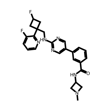 CN1CC(NC(=O)c2cccc(-c3cnc(NCC4(c5ncccc5F)CC(F)C4)nc3)c2)C1